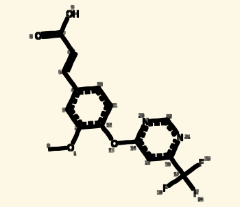 COc1cc(C=CC(=O)O)ccc1Oc1cc(C(F)(F)F)ncn1